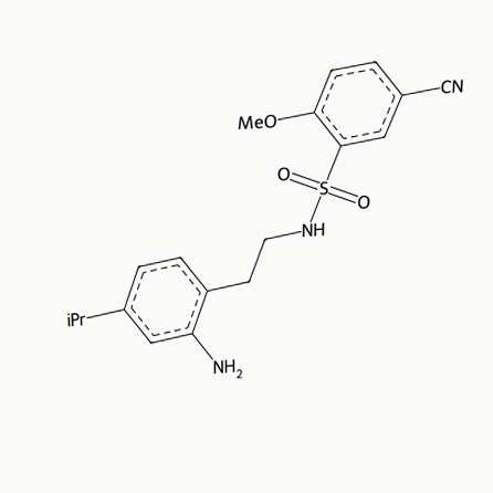 COc1ccc(C#N)cc1S(=O)(=O)NCCc1ccc(C(C)C)cc1N